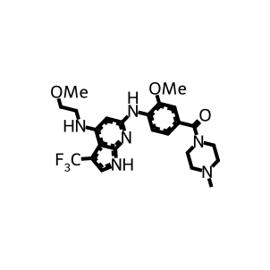 COCCNc1cc(Nc2ccc(C(=O)N3CCN(C)CC3)cc2OC)nc2[nH]cc(C(F)(F)F)c12